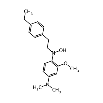 CCc1ccc(CCN(O)c2ccc(N(C)C)cc2OC)cc1